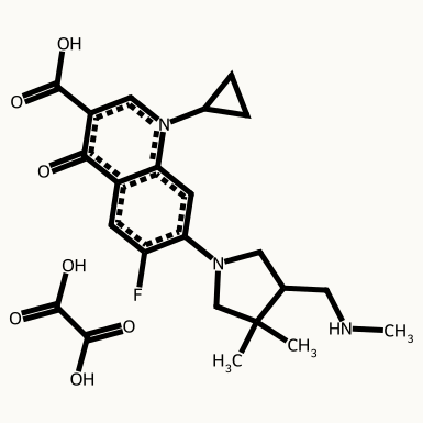 CNCC1CN(c2cc3c(cc2F)c(=O)c(C(=O)O)cn3C2CC2)CC1(C)C.O=C(O)C(=O)O